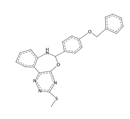 CSc1nnc2c(n1)OC(c1ccc(OCc3ccccc3)cc1)Nc1ccccc1-2